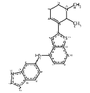 CC1C(c2cc3c(Nc4ccc5scnc5c4)ccnc3s2)=CCCN1C